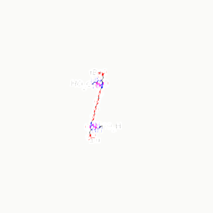 CC(C)(C)OC(=O)CC(NC(=O)CCC(=O)O)C(=O)NCCOCCOCCOCCOCCNC(=O)C(CC(=O)OC(C)(C)C)NC(=O)CCC(=O)O